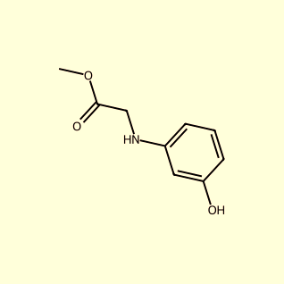 COC(=O)CNc1cccc(O)c1